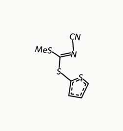 CSC(=NC#N)Sc1cccs1